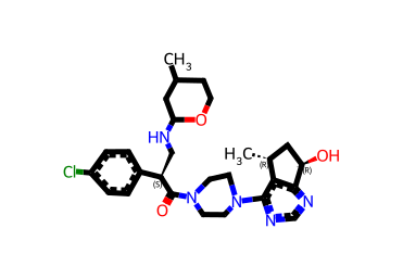 CC1CCOC(NC[C@@H](C(=O)N2CCN(c3ncnc4c3[C@H](C)C[C@H]4O)CC2)c2ccc(Cl)cc2)C1